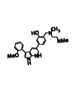 CNCCN(C)Cc1ccc(C2=Cc3c(-c4ccccc4OC)c[nH]c3NC2)cc1O